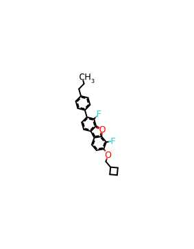 CCCc1ccc(-c2ccc3c(oc4c(F)c(OCC5CCC5)ccc43)c2F)cc1